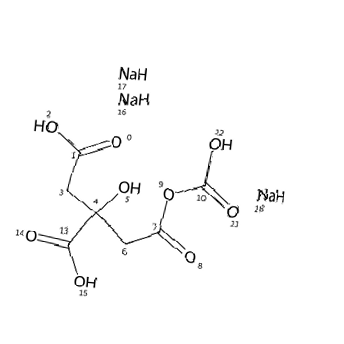 O=C(O)CC(O)(CC(=O)OC(=O)O)C(=O)O.[NaH].[NaH].[NaH]